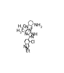 CCn1cc2c(Cl)c(-c3n[nH]c4nc(N(C)[C@@H]5CCC[C@H](N)[C@@H]5F)c(C)nc34)ccc2n1